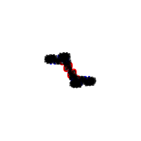 O=C(/C=C/C(=O)O[C@@H]1CCN(c2cccc3ccn(C4CC4c4ccc5ccccc5n4)c(=O)c23)C1)O[C@@H]1CCN(c2cccc3ccn(C4CC4c4ccc5ccccc5n4)c(=O)c23)C1